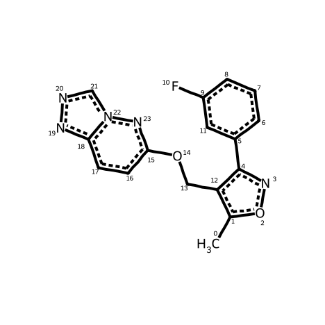 Cc1onc(-c2cccc(F)c2)c1COc1ccc2nncn2n1